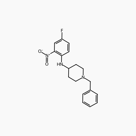 O=[N+]([O-])c1cc(F)ccc1NC1CCN(Cc2ccccc2)CC1